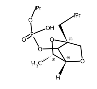 CC(C)C[C@@]12CO[C@@H](C1OP(=O)(O)OC(C)C)[C@H](C)O2